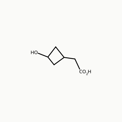 O=C(O)CC1CC(O)C1